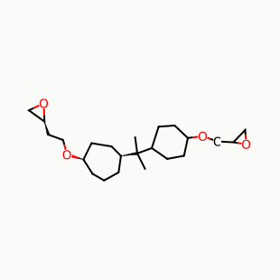 CC(C)(C1CCC(OCC2CO2)CC1)[C@H]1CCC[C@@H](OCC[C@H]2CO2)CC1